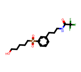 O=C(NCCCc1cccc(S(=O)(=O)CCCCCO)c1)C(F)(F)F